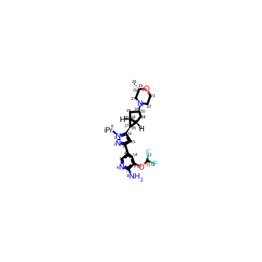 CC(C)n1nc(-c2cnc(N)c(OC(F)F)c2)cc1[C@H]1[C@@H]2C[C@@H](N3CCO[C@@H](C)C3)C[C@@H]21